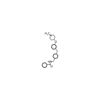 CN1CCC(Oc2cccc(Cc3ccc(CNC(=O)c4ccccc4)cc3)c2)CC1